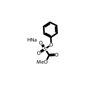 COC(=O)S(=O)(=O)Oc1ccccc1.[NaH]